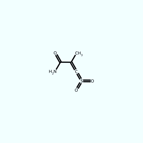 CC(=C=S(=O)=O)C(N)=O